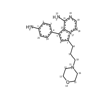 Nc1ccc(-c2cc(CCCN3CCOCC3)n3ncnc(N)c23)cc1